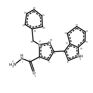 NNC(=O)c1cc(-c2c[nH]c3ccccc23)nn1Cc1ccccc1